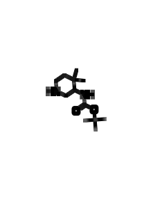 CC(C)(C)OC(=O)NC1CNCCC1(C)C